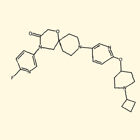 O=C1COC2(CCN(c3ccc(OC4CCN(C5CCC5)CC4)nc3)CC2)CN1c1ccc(F)nc1